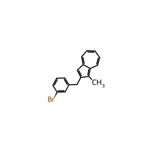 Cc1c(Cc2cccc(Br)c2)cc2cccccc1-2